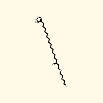 O=[C]COCCOCCC(=O)CCCCCCCCCCCCCCCc1nnn[nH]1